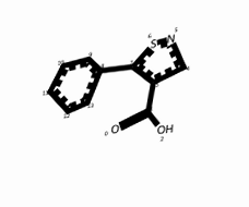 O=C(O)c1cnsc1-c1ccccc1